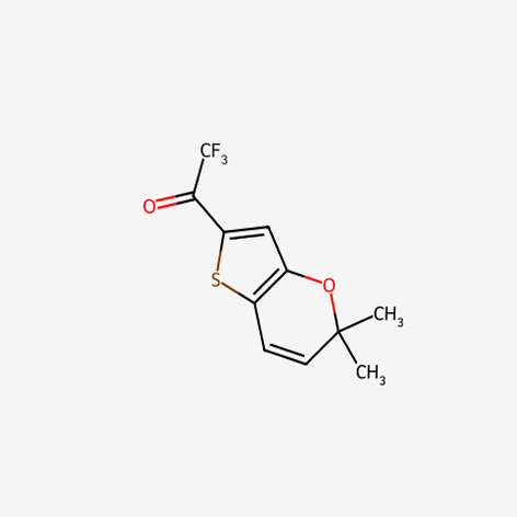 CC1(C)C=Cc2sc(C(=O)C(F)(F)F)cc2O1